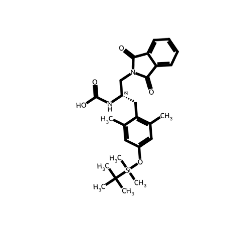 Cc1cc(O[Si](C)(C)C(C)(C)C)cc(C)c1C[C@@H](CN1C(=O)c2ccccc2C1=O)NC(=O)O